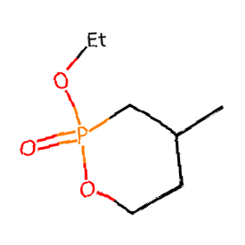 CCOP1(=O)CC(C)CCO1